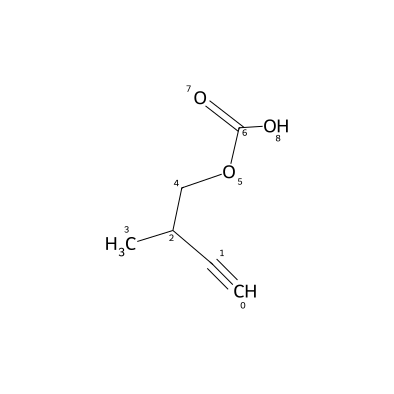 C#CC(C)COC(=O)O